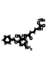 CC(C)(C)OC(=O)NCCCC(=O)Nc1nc(N)nc(OCc2ccccc2)c1N=O